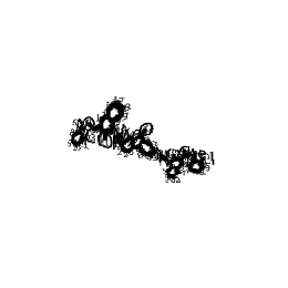 COc1c(CON(C)c2ccccc2Cl)cc2ccccc2c1N=Nc1ccc2c(c1)C(=O)c1cc(N=Nc3c(OC)c(C(=O)N(C)c4ccccc4Cl)cc4ccccc34)ccc1-2